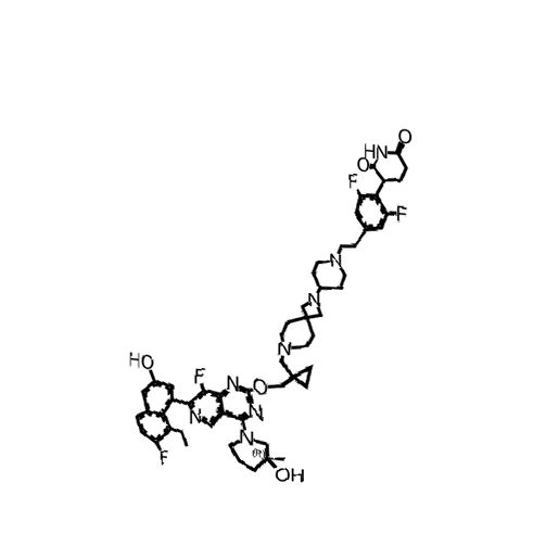 CCc1c(F)ccc2cc(O)cc(-c3ncc4c(N5CCC[C@@](C)(O)C5)nc(OCC5(CN6CCC7(CC6)CN(C6CCN(CCc8cc(F)c(C9CCC(=O)NC9=O)c(F)c8)CC6)C7)CC5)nc4c3F)c12